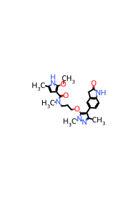 COc1[nH]c(C)cc1C(=O)N(C)CCCOc1c(-c2ccc3c(c2)CC(=O)N3)c(C)nn1C